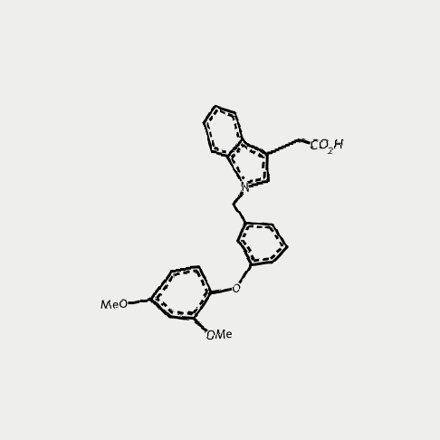 COc1ccc(Oc2cccc(Cn3cc(CC(=O)O)c4ccccc43)c2)c(OC)c1